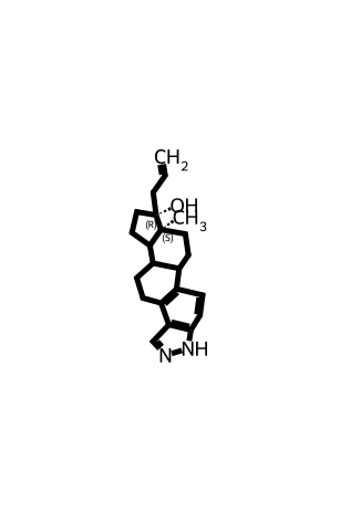 C=CC[C@]1(O)CCC2C3CCc4c(ccc5[nH]ncc45)C3CC[C@@]21C